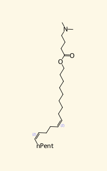 CCCCC/C=C\CC/C=C\CCCCCCCCOC(=O)CCCN(C)C